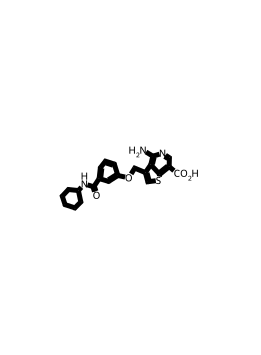 Nc1ncc(C(=O)O)c2scc(COc3cccc(C(=O)NC4CCCCC4)c3)c12